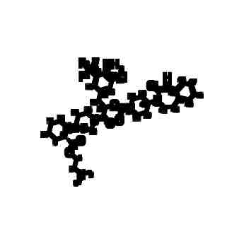 CN(C)CCOC(=O)[C@@H]1CCCCN1C1CCN(C(=O)[C@@H](Cc2cc(Cl)c(N)c(C(F)(F)F)c2)OC(=O)N2CCC(N3CCc4ccccc4NC3=O)CC2)CC1